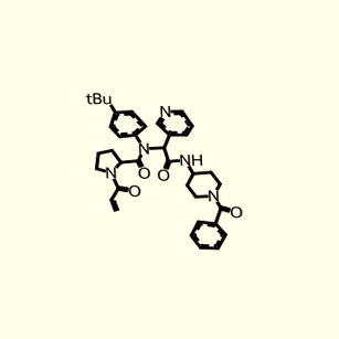 C=CC(=O)N1CCCC1C(=O)N(c1ccc(C(C)(C)C)cc1)C(C(=O)NC1CCN(C(=O)c2ccccc2)CC1)c1cccnc1